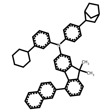 CC1(C)c2cc(N(c3ccc(C4CC5CCC4C5)cc3)c3cccc(C4CCCCC4)c3)ccc2-c2c(-c3ccc4ccccc4c3)cccc21